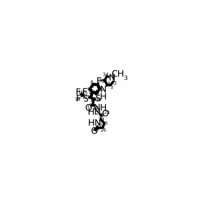 CN1CC[C@@H](Nc2cccc3c(SC(F)(F)F)c(C(=O)NNC(=O)[C@H]4CCC(=O)N4)sc23)[C@@H](F)C1